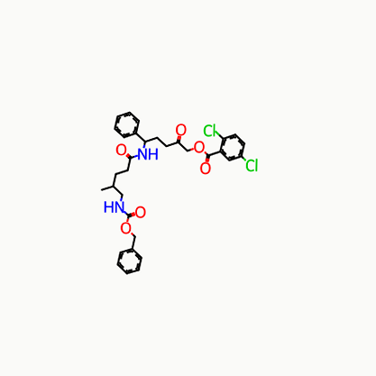 CC(CCC(=O)NC(CCC(=O)COC(=O)c1cc(Cl)ccc1Cl)c1ccccc1)CNC(=O)OCc1ccccc1